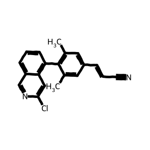 Cc1cc(C=CC#N)cc(C)c1-c1cccc2cnc(Cl)cc12